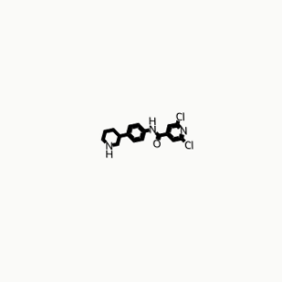 O=C(Nc1ccc(C2CCCNC2)cc1)c1cc(Cl)nc(Cl)c1